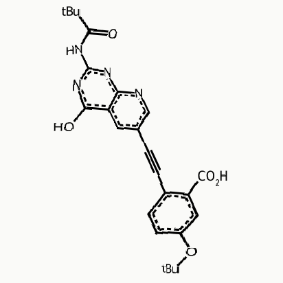 CC(C)(C)Oc1ccc(C#Cc2cnc3nc(NC(=O)C(C)(C)C)nc(O)c3c2)c(C(=O)O)c1